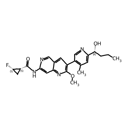 CCC[C@@H](O)c1cc(C)c(-c2cc3cnc(NC(=O)[C@@H]4C[C@@H]4F)cc3nc2OC)cn1